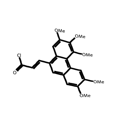 COc1cc2cc(/C=C/C(=O)Cl)c3cc(OC)c(OC)c(OC)c3c2cc1OC